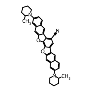 CC1CCCCN1c1ccc2cc3c(cc2c1)oc1c3cc(C#N)c2c3cc4ccc(N5CCCCC5C)cc4cc3oc12